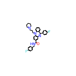 O=C(NCc1ccc(F)cc1)c1ccc2c(c1)N=C(c1ccc(F)cc1)c1ccccc1N2CCCN1CCCCC1